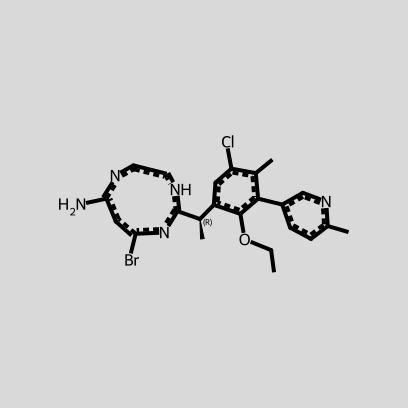 CCOc1c([C@@H](C)c2nc(Br)cc(N)ncc[nH]2)cc(Cl)c(C)c1-c1ccc(C)nc1